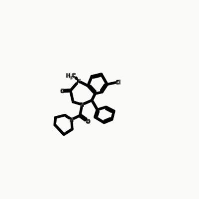 CN1C(=O)CN(C(=O)N2CCCCC2)C(c2ccccc2)c2cc(Cl)ccc21